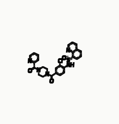 O=C(c1ccc(N[S+]([O-])c2cccc3cccnc23)c(Cl)c1)N1CCN(C(=O)c2ccccn2)CC1